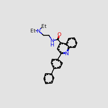 CCN(CC)CCNC(=O)c1cc(-c2ccc(-c3ccccc3)cc2)nc2ccccc12